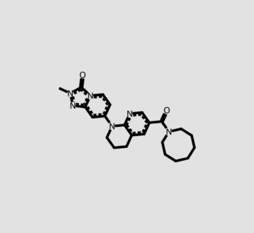 Cn1nc2cc(N3CCCc4cc(C(=O)N5CCCCCCC5)cnc43)ccn2c1=O